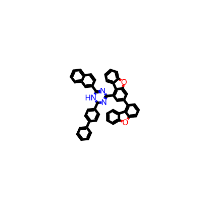 c1ccc(-c2ccc(C3N=C(c4cc(-c5cccc6oc7ccccc7c56)cc5oc6ccccc6c45)N=C(c4ccc5ccccc5c4)N3)cc2)cc1